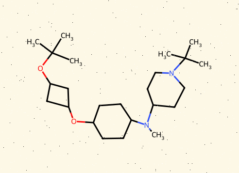 CN(C1CCC(OC2CC(OC(C)(C)C)C2)CC1)C1CCN(C(C)(C)C)CC1